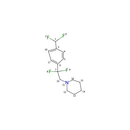 FC(F)c1ccc(C(F)(F)CN2CCCCC2)cc1